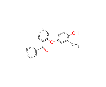 Cc1cc(Oc2ccccc2C(=O)c2ccccc2)ccc1O